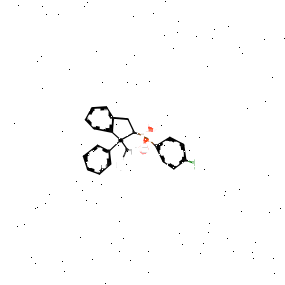 O=S(=O)(c1ccc(F)cc1)C1Cc2ccccc2C1(c1ccccc1)C(C(F)(F)F)C(F)(F)F